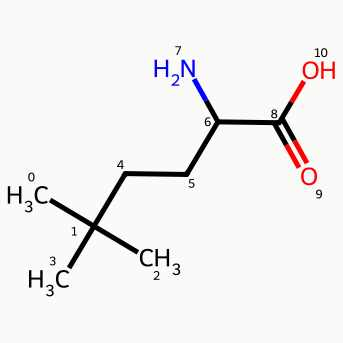 CC(C)(C)CCC(N)C(=O)O